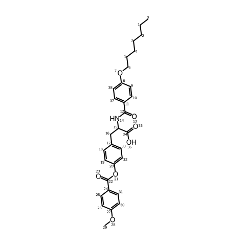 CCCCCCCOc1ccc(C(=O)NC(Cc2ccc(OC(=O)c3ccc(OC)cc3)cc2)C(=O)O)cc1